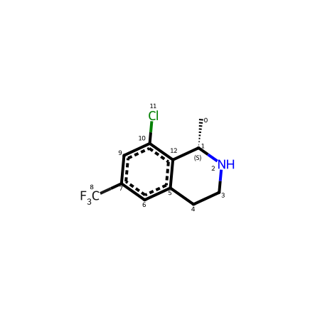 C[C@@H]1NCCc2cc(C(F)(F)F)cc(Cl)c21